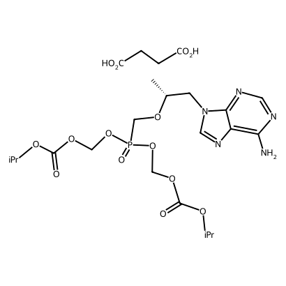 CC(C)OC(=O)OCOP(=O)(CO[C@H](C)Cn1cnc2c(N)ncnc21)OCOC(=O)OC(C)C.O=C(O)CCC(=O)O